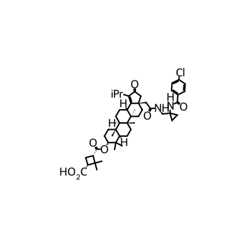 CC(C)C1=C2[C@H]3CC[C@@H]4[C@@]5(C)CC[C@H](OC(=O)[C@H]6C[C@@H](C(=O)O)C6(C)C)C(C)(C)[C@@H]5CC[C@@]4(C)[C@]3(C)CC[C@@]2(CC(=O)NCC2(NC(=O)c3ccc(Cl)cc3)CC2)CC1=O